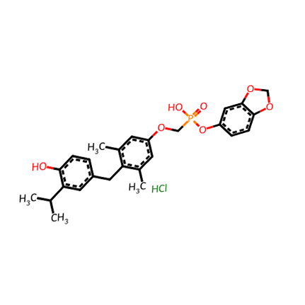 Cc1cc(OCP(=O)(O)Oc2ccc3c(c2)OCO3)cc(C)c1Cc1ccc(O)c(C(C)C)c1.Cl